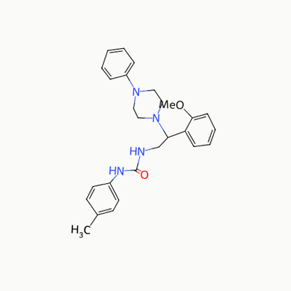 COc1ccccc1C(CNC(=O)Nc1ccc(C)cc1)N1CCN(c2ccccc2)CC1